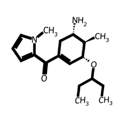 CCC(CC)O[C@@H]1C=C(C(=O)c2cccn2C)C[C@H](N)[C@H]1C